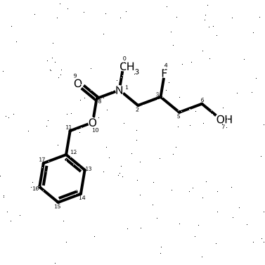 CN(CC(F)CCO)C(=O)OCc1ccccc1